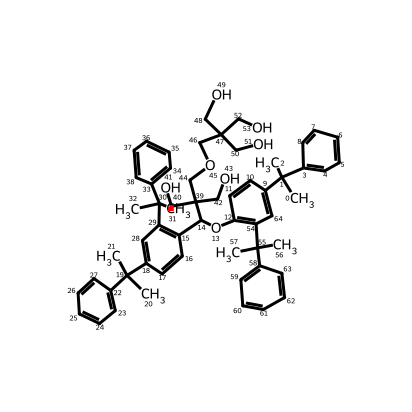 CC(C)(c1ccccc1)c1ccc(OC(c2ccc(C(C)(C)c3ccccc3)cc2C(C)(C)c2ccccc2)C(CO)(CO)COCC(CO)(CO)CO)c(C(C)(C)c2ccccc2)c1